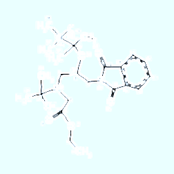 CCOC(=O)CN(C[C@H](CN1C(=O)c2ccccc2C1=O)OC(C)(C)[Si](C)(C)C)C(C)(C)C